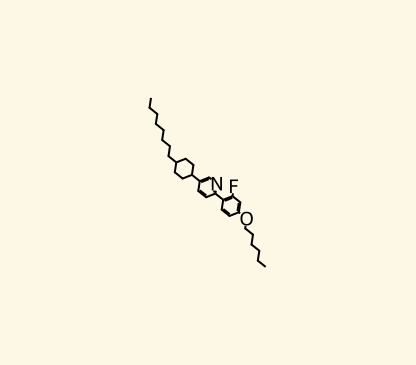 CCCCCCCCC1CCC(c2ccc(-c3ccc(OCCCCCC)cc3F)nc2)CC1